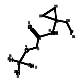 [2H]C([2H])([2H])OCC(=O)NC1(CF)CC1